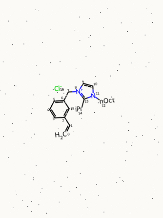 C=Cc1cccc(C[n+]2ccn(CCCCCCCC)c2C(C)C)c1.[Cl-]